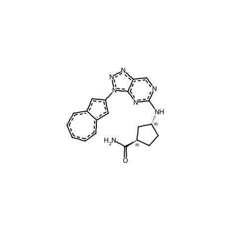 NC(=O)[C@@H]1CC[C@@H](Nc2ncc3nnn(-c4cc5cccccc-5c4)c3n2)C1